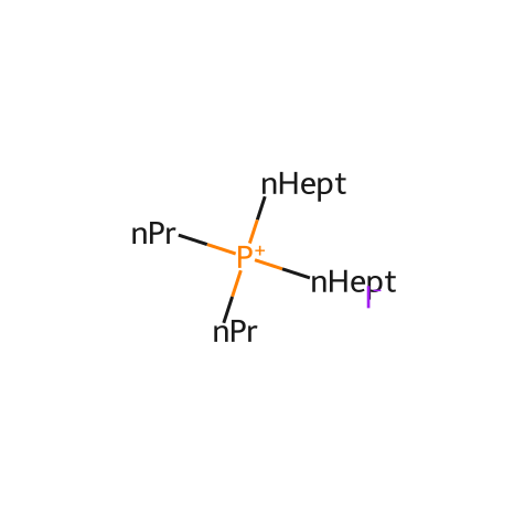 CCCCCCC[P+](CCC)(CCC)CCCCCCC.[I-]